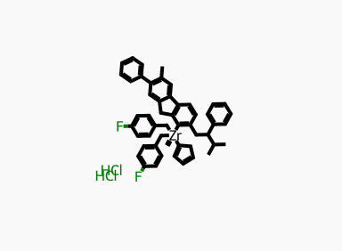 Cl.Cl.[CH2]=[Zr]([CH2]c1ccc(F)cc1)([CH2]c1ccc(F)cc1)([C]1=CC=CC1)[c]1c(CC(c2ccccc2)C(C)C)ccc2c1Cc1cc(-c3ccccc3)c(C)cc1-2